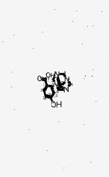 C1N2CN3CN1CN(C2)C3.O=C(O)c1ccc(O)cc1